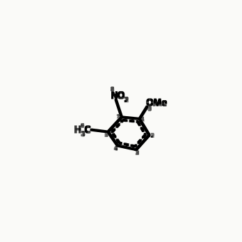 COc1cccc(C)c1[N+](=O)[O-]